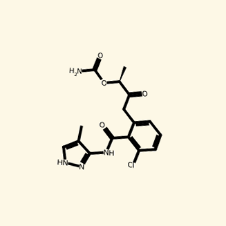 Cc1c[nH]nc1NC(=O)c1c(Cl)cccc1CC(=O)[C@H](C)OC(N)=O